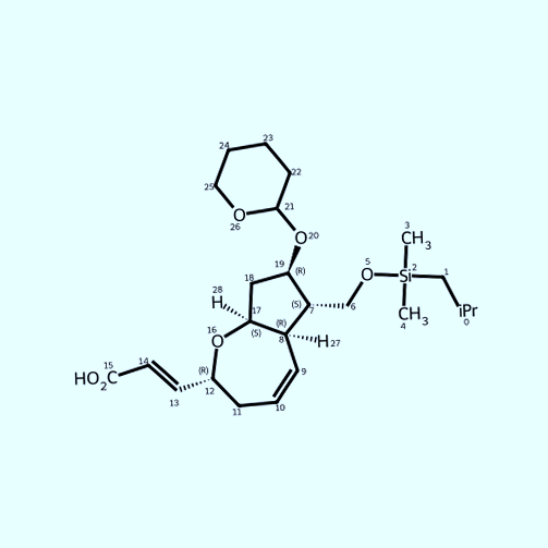 CC(C)C[Si](C)(C)OC[C@@H]1[C@H]2C=CC[C@H](C=CC(=O)O)O[C@H]2C[C@H]1OC1CCCCO1